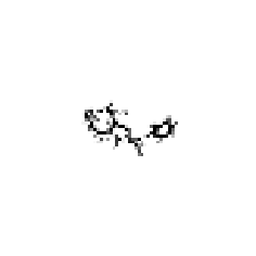 c1ccc([C@H]2CC2NCC2CCCNCC2)cc1